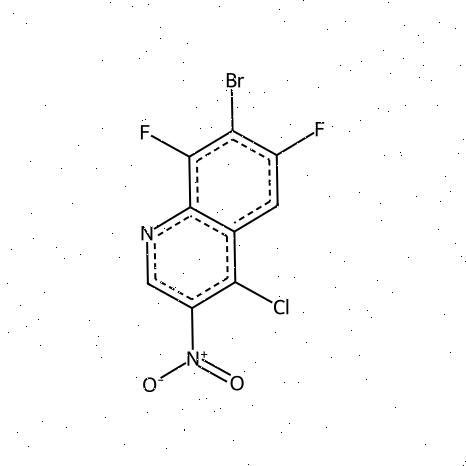 O=[N+]([O-])c1cnc2c(F)c(Br)c(F)cc2c1Cl